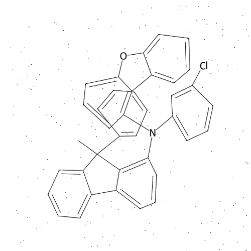 CC1(c2ccccc2)c2ccccc2-c2cccc(N(c3cccc(Cl)c3)c3cccc4oc5ccccc5c34)c21